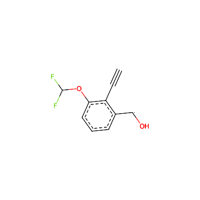 C#Cc1c([CH]O)cccc1OC(F)F